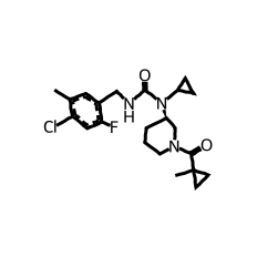 Cc1cc(CNC(=O)N(C2CC2)[C@@H]2CCCN(C(=O)C3(C)CC3)C2)c(F)cc1Cl